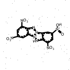 O=[N+]([O-])c1cc([N+](=O)[O-])c2nn3c4cc([N+](=O)O)cc([N+](=O)[O-])c4[nH][n+]3c2c1